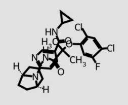 CC(C)(Oc1cc(F)c(Cl)cc1Cl)C(=O)N[C@H]1C[C@H]2CC[C@@H](C1)N2c1ccc(C(=O)NC2CC2)cn1